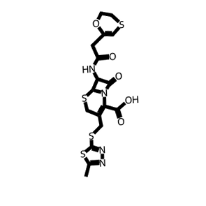 Cc1nnc(SCC2=C(C(=O)O)N3C(=O)C(NC(=O)CC4=CSCCO4)C3SC2)s1